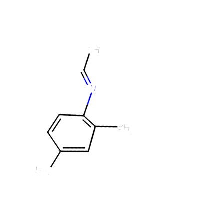 Bc1cc(C)ccc1/N=C/C